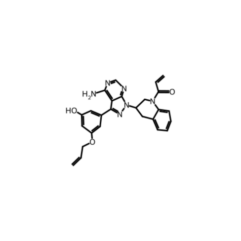 C=CCOc1cc(O)cc(-c2nn(C3Cc4ccccc4N(C(=O)C=C)C3)c3ncnc(N)c23)c1